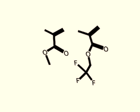 C=C(C)C(=O)OC.C=C(C)C(=O)OCC(F)(F)F